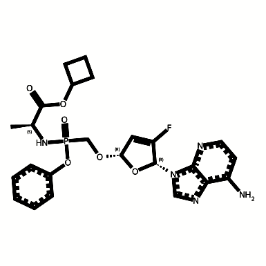 C[C@H](NP(=O)(CO[C@@H]1C=C(F)[C@H](n2cnc3c(N)ccnc32)O1)Oc1ccccc1)C(=O)OC1CCC1